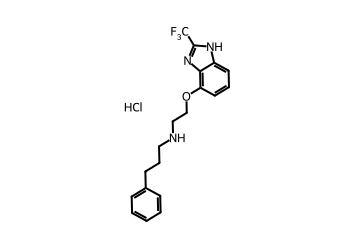 Cl.FC(F)(F)c1nc2c(OCCNCCCc3ccccc3)cccc2[nH]1